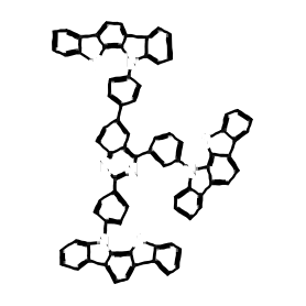 c1cc(-c2nc(-c3ccc(-n4c5ccccc5c5ccc6c7ccccc7sc6c54)cc3)nc3ccc(-c4ccc(-n5c6ccccc6c6ccc7c8ccccc8sc7c65)cc4)cc23)cc(-n2c3ccccc3c3ccc4c5ccccc5sc4c32)c1